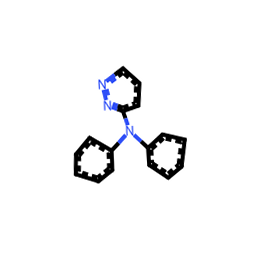 c1ccc(N(c2ccccc2)c2cccnn2)cc1